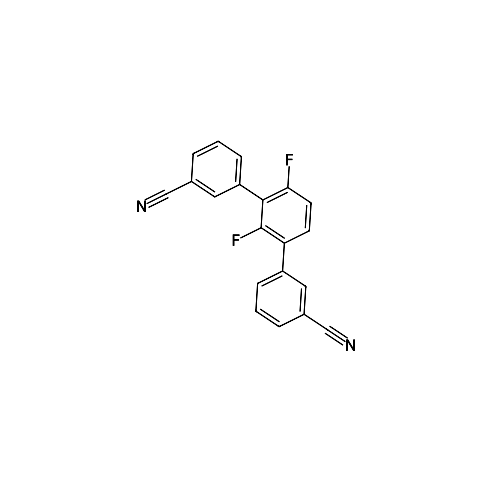 N#Cc1cccc(-c2ccc(F)c(-c3cccc(C#N)c3)c2F)c1